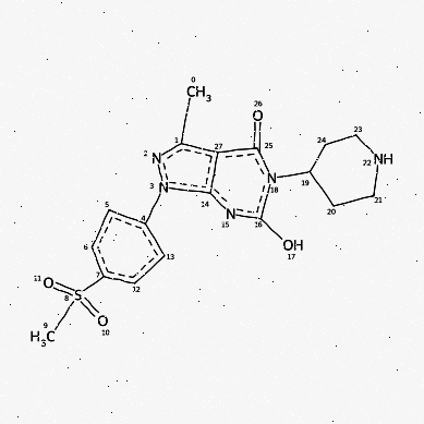 Cc1nn(-c2ccc(S(C)(=O)=O)cc2)c2nc(O)n(C3CCNCC3)c(=O)c12